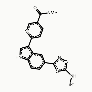 CNC(=O)c1ccc(-c2c[nH]c3ccc(-c4nnc(NC(C)C)o4)cc23)nc1